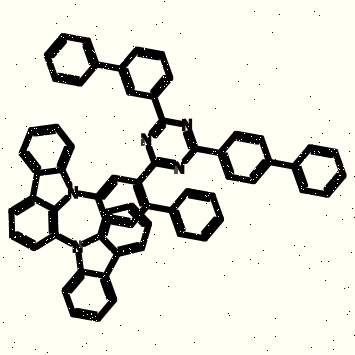 c1ccc(-c2ccc(-c3nc(-c4cccc(-c5ccccc5)c4)nc(-c4cc(-n5c6ccccc6c6cccc(-n7c8ccccc8c8ccccc87)c65)ccc4-c4ccccc4)n3)cc2)cc1